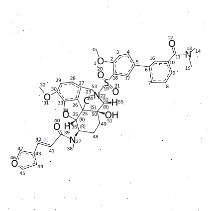 COc1ccc(-c2cccc(C(=O)N(C)C)c2)cc1S(=O)(=O)N1CCC23c4c5ccc(OC)c4O[C@H]2[C@H](N(C)C(=O)/C=C/c2ccoc2)CC[C@@]3(O)[C@H]1C5